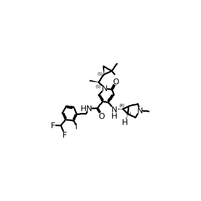 C[C@@H]([C@H]1CC1(C)C)n1cc(C(=O)NCc2cccc(C(F)F)c2I)c(N[C@@H]2C3CN(C)C[C@H]32)cc1=O